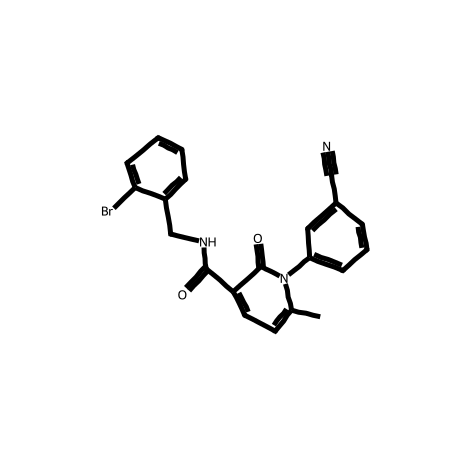 Cc1ccc(C(=O)NCc2ccccc2Br)c(=O)n1-c1cccc(C#N)c1